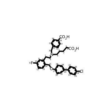 O=C(O)CCCCN(CCc1cc(F)ccc1COc1ccc(-c2ccc(Cl)cc2)cc1)Cc1ccc(C(=O)O)cc1